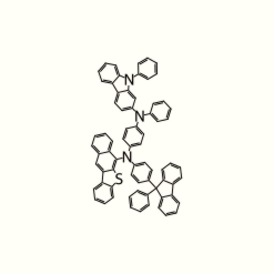 c1ccc(N(c2ccc(N(c3ccc(C4(c5ccccc5)c5ccccc5-c5ccccc54)cc3)c3c4ccccc4cc4c3sc3ccccc34)cc2)c2ccc3c4ccccc4n(-c4ccccc4)c3c2)cc1